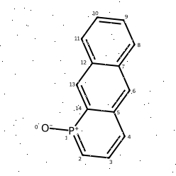 [O-][p+]1cccc2cc3ccccc3cc21